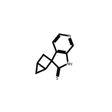 S=C1Nc2cnccc2C12CC1CC12